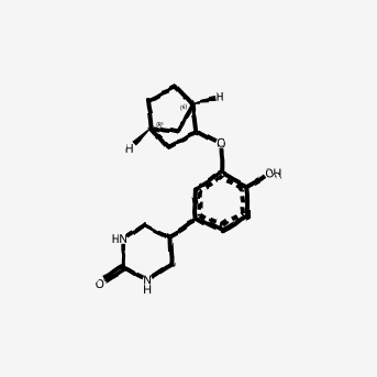 O=C1NCC(c2ccc(O)c(OC3C[C@@H]4CC[C@H]3C4)c2)CN1